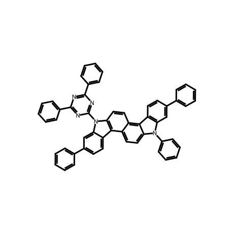 c1ccc(-c2ccc3c4c5ccc6c(c5ccc4n(-c4ccccc4)c3c2)c2ccc(-c3ccccc3)cc2n6-c2nc(-c3ccccc3)nc(-c3ccccc3)n2)cc1